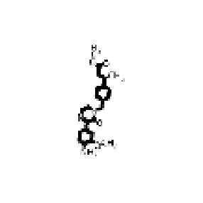 COC(=O)C[C@@H](C)c1ccc(Cn2ccnc(-c3ccc(N)c(OC)c3)c2=O)cc1